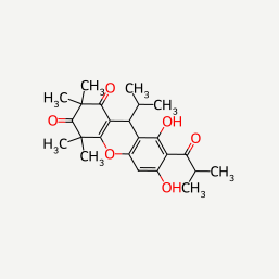 CC(C)C(=O)c1c(O)cc2c(c1O)C(C(C)C)C1=C(O2)C(C)(C)C(=O)C(C)(C)C1=O